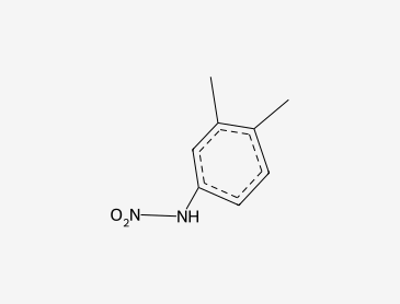 Cc1ccc(N[N+](=O)[O-])cc1C